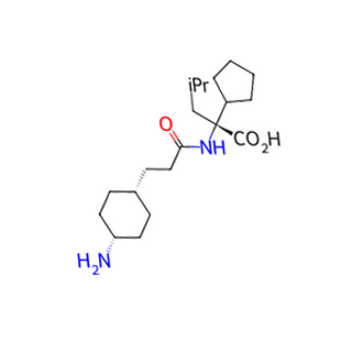 CC(C)C[C@](NC(=O)CC[C@H]1CC[C@@H](N)CC1)(C(=O)O)C1CCCC1